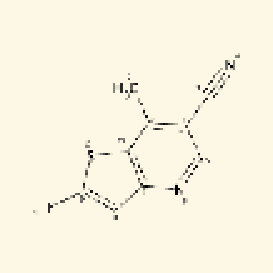 Cc1c(C#N)cnc2cc(I)sc12